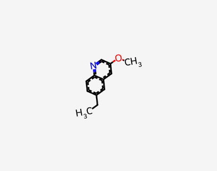 CCc1ccc2ncc(OC)cc2c1